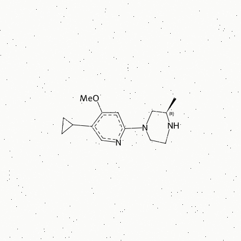 COc1cc(N2CCN[C@H](C)C2)ncc1C1CC1